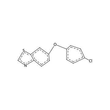 Clc1ccc(Oc2ccc3ncsc3c2)cc1